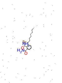 CCCCCCCC(Br)c1cccc(C(N)=O)c1C(N)=O